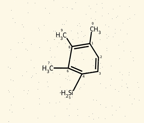 Cc1ccc([SiH2])c(C)c1C